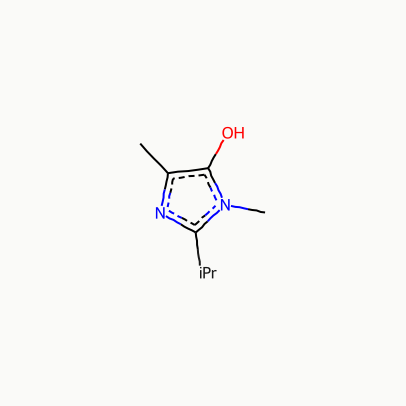 Cc1nc(C(C)C)n(C)c1O